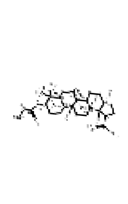 C=C(C)[C@@H]1CC[C@@H]2CC[C@]3(C)[C@H](CC[C@@H]4[C@@]5(C)CCC(NC(=O)OC(C)(C)C)C(C)(C)[C@@H]5CC[C@]43C)[C@H]21